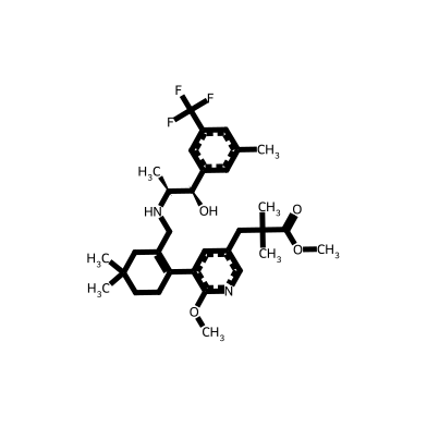 COC(=O)C(C)(C)Cc1cnc(OC)c(C2=C(CN[C@@H](C)[C@H](O)c3cc(C)cc(C(F)(F)F)c3)CC(C)(C)CC2)c1